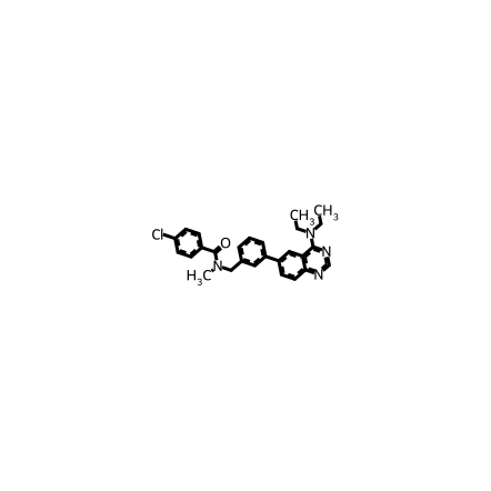 CCN(CC)c1ncnc2ccc(-c3cccc(CN(C)C(=O)c4ccc(Cl)cc4)c3)cc12